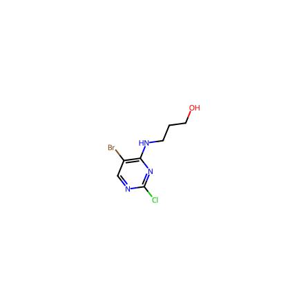 OCCCNc1nc(Cl)ncc1Br